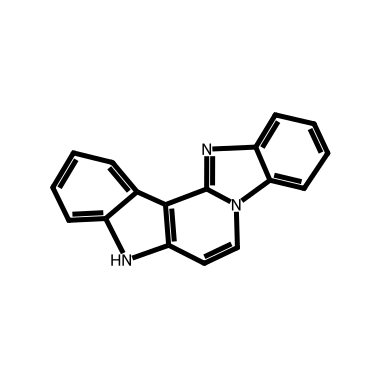 c1ccc2c(c1)nc1c3c(ccn21)[nH]c1ccccc13